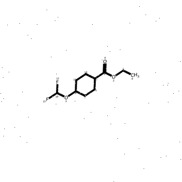 CCOC(=O)C1CCC(OC(F)F)CC1